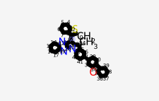 C=c1sc2ccccc2/c1=c1\c2nc3ccccc3nc2n2c1c(C)c1cc(-c3ccc4c(c3)oc3ccccc34)ccc12